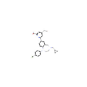 NC(=O)c1cc([C@H](O)CO)cc(-c2ccc3c(c2)CN(CC2CC2)CCN3c2ccc(C(F)(F)F)cc2)n1